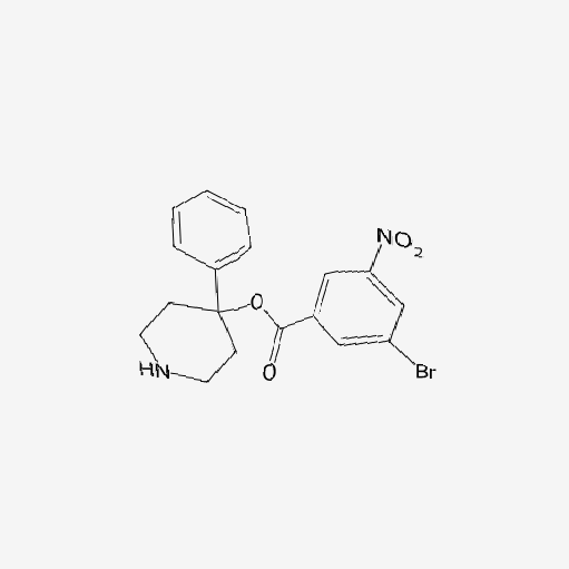 O=C(OC1(c2ccccc2)CCNCC1)c1cc(Br)cc([N+](=O)[O-])c1